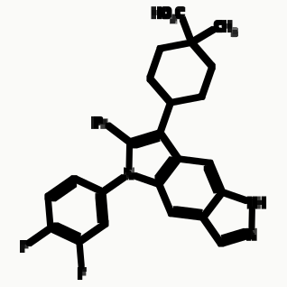 CC(C)c1c(C2CCC(C)(C(=O)O)CC2)c2cc3[nH]ncc3cc2n1-c1ccc(F)c(F)c1